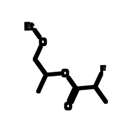 CCOCC(C)OC(=O)C(C)F